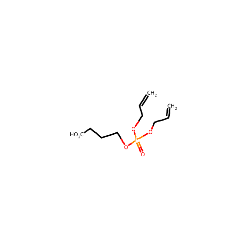 C=CCOP(=O)(OCC=C)OCCCC(=O)O